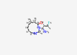 C/N=C(\C=C(/C)F)n1c(C)nccccc(C)c(C)c1=O